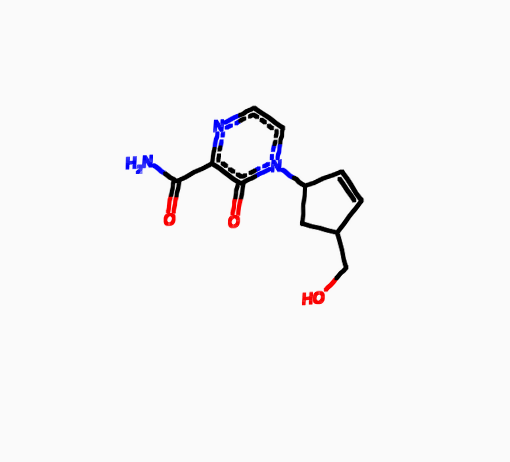 NC(=O)c1nccn(C2C=CC(CO)C2)c1=O